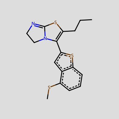 CCCC1=C(c2cc3c(SC)cccc3s2)N2CCN=C2S1